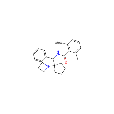 COc1cccc(C)c1C(=O)NC(c1ccccc1)C1(N2CCC2)CCCC1